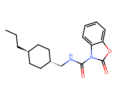 CCC[C@H]1CC[C@H](CNC(=O)n2c(=O)oc3ccccc32)CC1